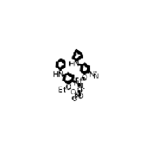 CCOc1cc(Nc2ccccc2)ccc1[N+]#N.CCOc1cc(Nc2ccccc2)ccc1[N+]#N.O=S(=O)([O-])[O-]